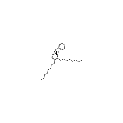 CCCCCCCCc1cc[n+](Cc2ccccc2)cc1CCCCCCCC